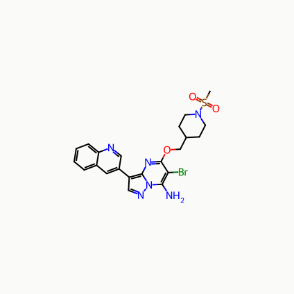 CS(=O)(=O)N1CCC(COc2nc3c(-c4cnc5ccccc5c4)cnn3c(N)c2Br)CC1